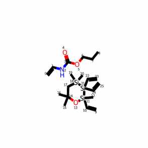 C=CNC(=O)OCCC.C=C[Si]1(C)OC(C)(C)C[Si](C)(C)[Si]1(C=C)C=C